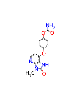 Cn1c(=O)[nH]c2c(Oc3ccc(OC(N)=O)cc3)ccnc21